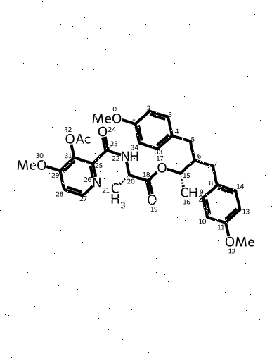 COc1ccc(CC(Cc2ccc(OC)cc2)[C@H](C)OC(=O)[C@H](C)NC(=O)c2nccc(OC)c2OC(C)=O)cc1